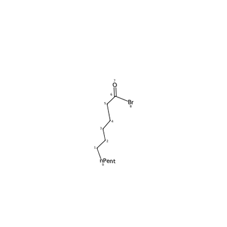 CCCCCCCCCCC(=O)Br